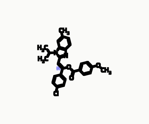 COc1ccc(C(=O)O/C(=C\c2nc3ccc(C)cc3n2C(C)C)c2ccc(Cl)cc2)cc1